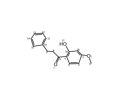 COc1ccc(C(=O)CCc2ccccc2)c(O)c1